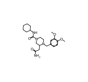 COc1ccc(CN2CCN(C(=O)NC3CCCCC3)CC2CC(N)=O)cc1OC